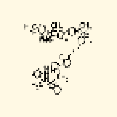 C=Cc1nc(N2CCc3cccc(C(=C)Nc4nc5ccccc5s4)c3C2)ccc1-c1cccc(CCCCC2CCN(C(C)C(=C)N3CCN(c4cc5c(=C)n(C6CCC(=C)NC6=C)c(=C)c5cc4F)CC3)CC2)c1C